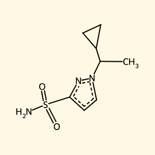 CC(C1CC1)n1ccc(S(N)(=O)=O)n1